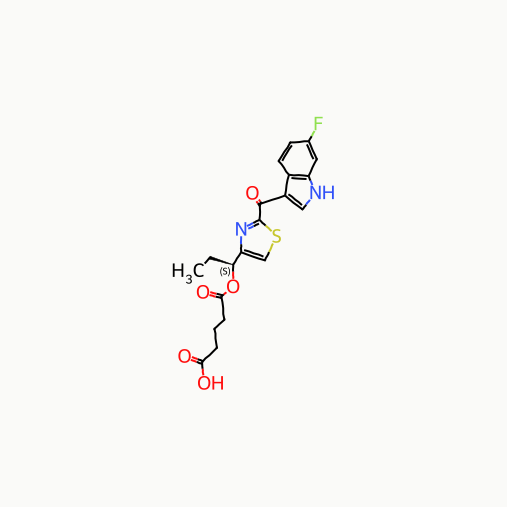 CC[C@H](OC(=O)CCCC(=O)O)c1csc(C(=O)c2c[nH]c3cc(F)ccc23)n1